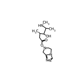 CNC(C)C(O)C(C)CC(=O)ON1CCn2cnnc2C1